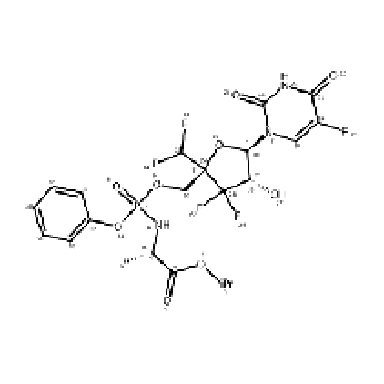 CC(C)OC(=O)[C@H](C)NP(=O)(OC[C@@]1(C(F)F)O[C@@H](n2cc(F)c(=O)[nH]c2=O)[C@H](O)C1(F)F)Oc1ccccc1